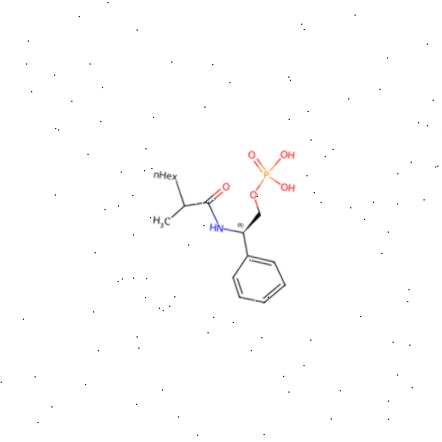 CCCCCCC(C)C(=O)N[C@@H](COP(=O)(O)O)c1ccccc1